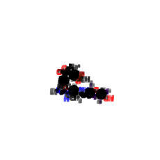 CCN(CC)CC(=O)Nc1c(C)cccc1C.CS(=O)(=O)c1ccc(C2=C(c3ccccc3)C(=O)OC2)cc1.N[C@@H](Cc1cc(I)c(Oc2cc(I)c(O)c(I)c2)c(I)c1)C(=O)[O-].[Na+]